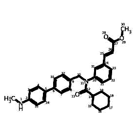 CNc1ccc(-c2ccc(CN(C(=O)C3CCCCC3)c3cccc(/C=C/C(=O)OC)c3)cc2)cc1